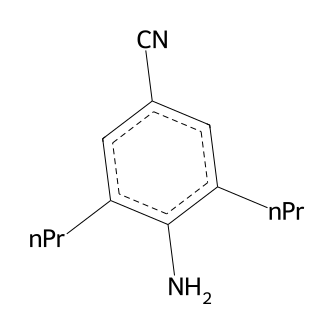 CCCc1cc(C#N)cc(CCC)c1N